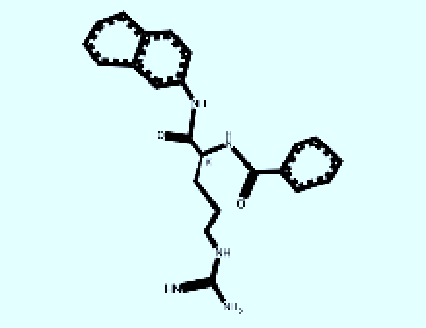 N=C(N)NCCC[C@H](NC(=O)c1ccccc1)C(=O)Nc1ccc2ccccc2c1